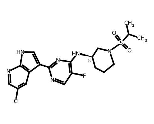 CC(C)S(=O)(=O)N1CCC[C@@H](Nc2nc(-c3c[nH]c4ncc(Cl)cc34)ncc2F)C1